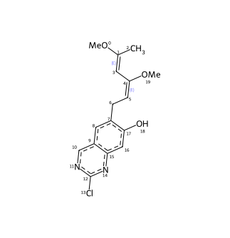 CO/C(C)=C/C(=C\Cc1cc2cnc(Cl)nc2cc1O)OC